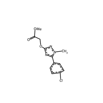 COC(=O)COc1nc(-c2ccc(Cl)cc2)n(C)n1